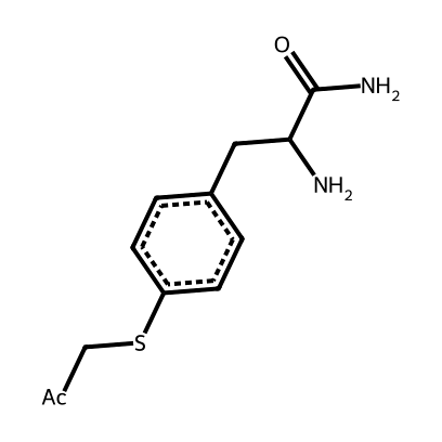 CC(=O)CSc1ccc(CC(N)C(N)=O)cc1